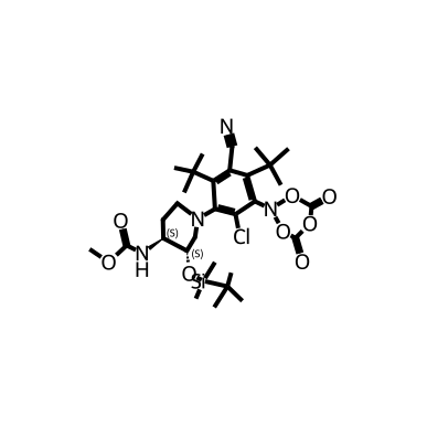 COC(=O)N[C@H]1CCN(c2c(Cl)c(N3OC(=O)OC(=O)O3)c(C(C)(C)C)c(C#N)c2C(C)(C)C)C[C@@H]1O[Si](C)(C)C(C)(C)C